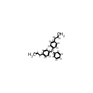 C=CCc1ccc(P(c2ccccc2)c2ccc(CC=C)cc2)cc1